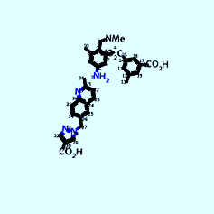 CNCc1c(C)cc(N)cc1C.Cc1cc(C(=O)O)cc(C(=O)O)c1.Cc1ccc2cc(Cn3cc(C(=O)O)cn3)ccc2n1